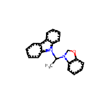 CC(N1COc2ccccc21)n1c2ccccc2c2ccccc21